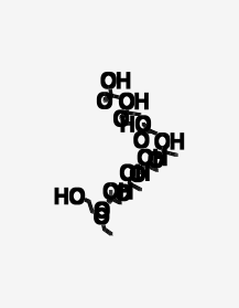 CC(=O)O.CC(=O)O.CC(=O)O.CC(=O)O.CC(=O)O.CC(=O)O.CC(=O)O.CCOCCO